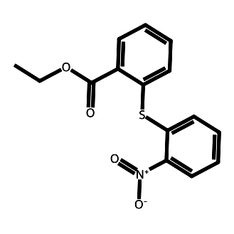 CCOC(=O)c1ccccc1Sc1ccccc1[N+](=O)[O-]